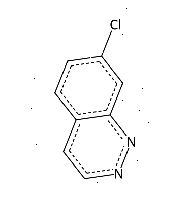 Clc1ccc2ccnnc2c1